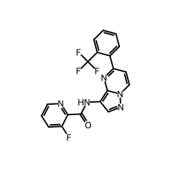 O=C(Nc1cnn2ccc(-c3ccccc3C(F)(F)F)nc12)c1ncccc1F